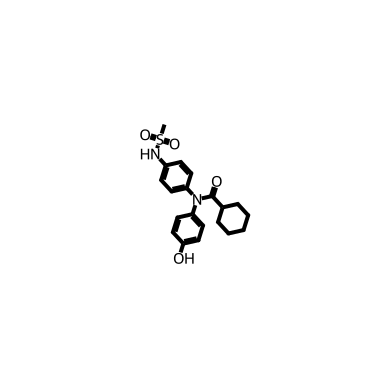 CS(=O)(=O)Nc1ccc(N(C(=O)C2CCCCC2)c2ccc(O)cc2)cc1